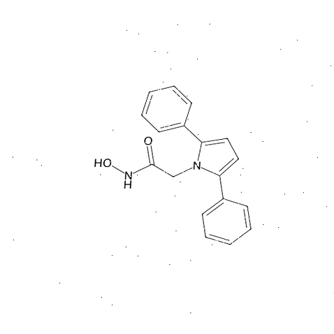 O=C(Cn1c(-c2ccccc2)ccc1-c1ccccc1)NO